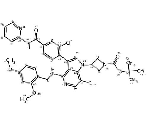 COc1ccc(CNc2ncc(Cl)c3c2c(-c2ccc(C(=O)Nc4ccccn4)cc2Cl)nn3C2CN(C(=O)OC(C)(C)C)C2)c(OC)c1